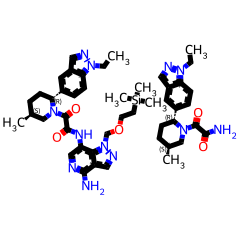 CCn1ncc2cc([C@H]3CC[C@H](C)CN3C(=O)C(=O)Nc3cnc(N)c4cnn(COCC[Si](C)(C)C)c34)ccc21.CCn1ncc2cc([C@H]3CC[C@H](C)CN3C(=O)C(N)=O)ccc21